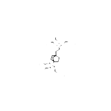 CCO[Si](CCC12CCC([Si](OCC)(OCC)OCC)(CC1)C2)(OCC)OCC